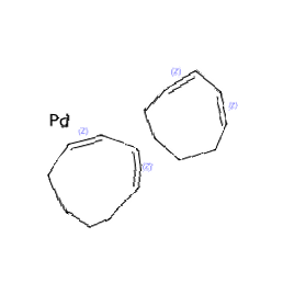 C1=C\CCCC\C=C/1.C1=C\CCCC\C=C/1.[Pd]